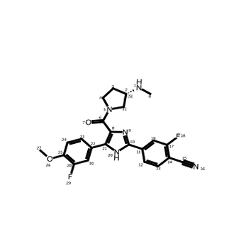 CN[C@H]1CCN(C(=O)c2nc(-c3ccc(C#N)c(F)c3)[nH]c2-c2ccc(OC)c(F)c2)C1